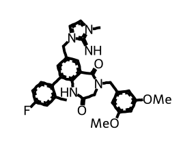 COc1cc(CN2CC(=O)Nc3c(cc(Cn4ccn(C)c4=N)cc3-c3ccc(F)cc3C)C2=O)cc(OC)c1